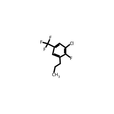 CCCc1cc(C(F)(F)F)cc(Cl)c1F